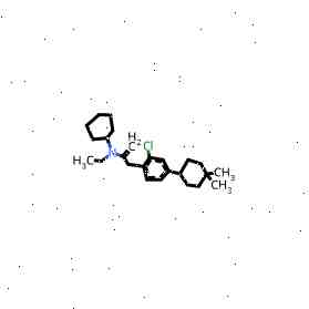 C=C(Cc1ccc(C2CCC(C)(C)CC2)cc1Cl)N(CC)C1CCCCC1